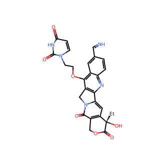 CC[C@@]1(O)C(=O)OCc2c1cc1n(c2=O)Cc2c-1nc1ccc(C=N)cc1c2OCCn1ccc(=O)[nH]c1=O